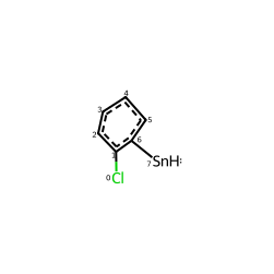 Clc1cccc[c]1[SnH]